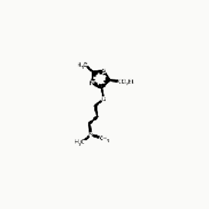 CCOC(=O)c1sc(C)nc1OCCCN(C)C